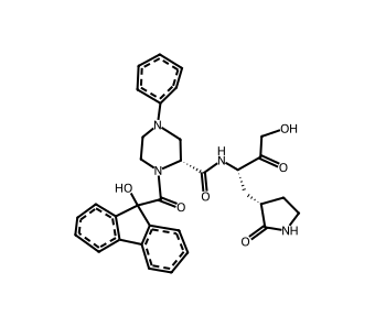 O=C1NCC[C@H]1C[C@H](NC(=O)[C@H]1CN(c2ccccc2)CCN1C(=O)C1(O)c2ccccc2-c2ccccc21)C(=O)CO